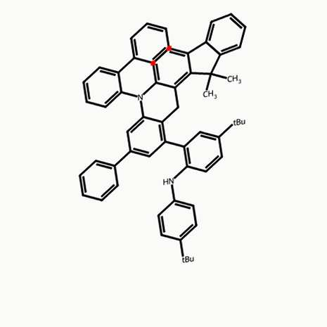 CC(C)(C)c1ccc(Nc2ccc(C(C)(C)C)cc2-c2cc(-c3ccccc3)cc3c2Cc2c(ccc4c2C(C)(C)c2ccccc2-4)N3c2ccccc2-c2ccccc2)cc1